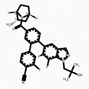 CC(C)(O)Cn1ncc2cc(-c3ccc(C(=O)N4[C@@H]5CC[C@H]4[C@@H](N)C5)cc3-c3ccc(C#N)c(F)c3)c(F)c(F)c21